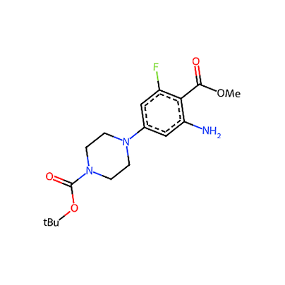 COC(=O)c1c(N)cc(N2CCN(C(=O)OC(C)(C)C)CC2)cc1F